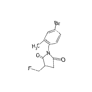 Cc1cc(Br)ccc1N1C(=O)CC(CF)C1=O